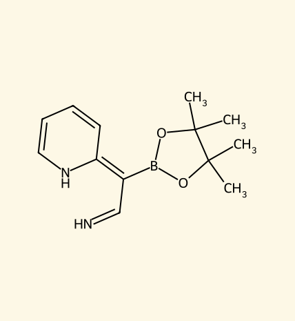 CC1(C)OB(/C(C=N)=C2\C=CC=CN2)OC1(C)C